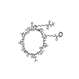 CC[C@@H]1NC(=O)[C@H]([C@H](O)[C@H](C)CCCCCCNC(=O)OC(C)(C)C)N(C)C(=O)[C@H](C(C)C)N(C)C(=O)[C@H](CC(C)C)N(C)C(=O)[C@H](CC(C)C)N(C)C(=O)[C@H](C)NC(=O)[C@@H](C)NC(=O)[C@@H](CCC(C)C)N(C)C(=O)[C@@H](C(C)C)NC(=O)[C@H](CC(C)C)N(C)C(=O)[C@@H](SCCCCCOC(=O)c2ccccc2)N(C)C1=O